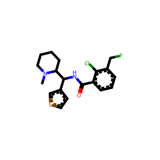 CN1CCCCC1C(NC(=O)c1cccc(CF)c1Cl)c1ccsc1